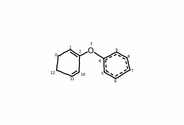 [CH]1C=C(Oc2ccccc2)C=CC1